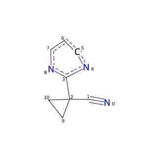 N#CC1(c2n[c]ccn2)CC1